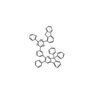 c1ccc(-c2nc(-c3cccc(-c4cc5c(cc4-c4ccccc4)-c4ccccc4C5(c4ccccc4)c4ccccc4)c3)nc(-c3cccc4c3Cc3ccccc3-4)n2)cc1